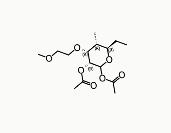 CC[C@H]1OC(OC(C)=O)[C@H](OC(C)=O)[C@H](OCCOC)[C@@H]1C